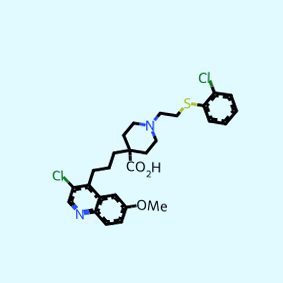 COc1ccc2ncc(Cl)c(CCCC3(C(=O)O)CCN(CCSc4ccccc4Cl)CC3)c2c1